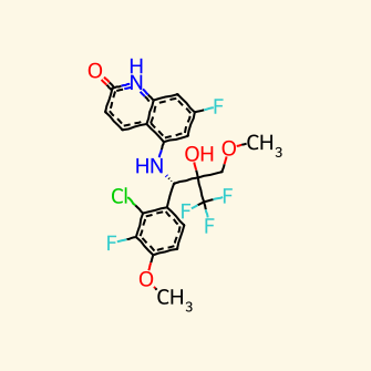 COCC(O)([C@@H](Nc1cc(F)cc2[nH]c(=O)ccc12)c1ccc(OC)c(F)c1Cl)C(F)(F)F